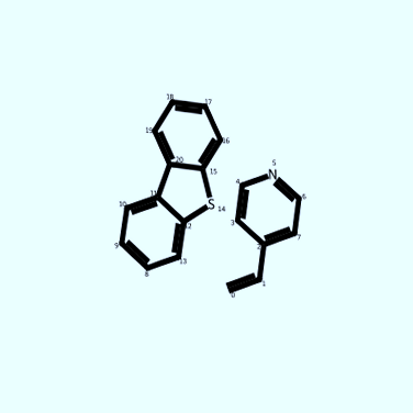 C=Cc1ccncc1.c1ccc2c(c1)sc1ccccc12